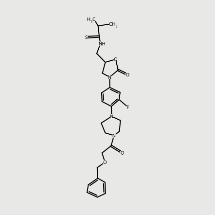 CC(C)C(=S)NCC1CN(c2ccc(N3CCN(C(=O)COCc4ccccc4)CC3)c(F)c2)C(=O)O1